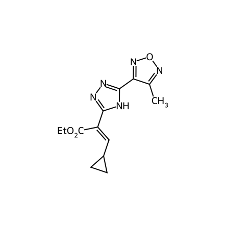 CCOC(=O)C(=CC1CC1)c1nnc(-c2nonc2C)[nH]1